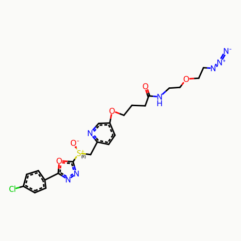 [N-]=[N+]=NCCOCCNC(=O)CCCOc1ccc(C[S@+]([O-])c2nnc(-c3ccc(Cl)cc3)o2)nc1